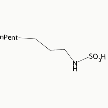 CCCCCCCCNS(=O)(=O)O